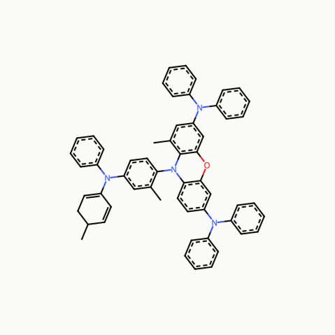 Cc1cc(N(C2=CCC(C)C=C2)c2ccccc2)ccc1N1c2ccc(N(c3ccccc3)c3ccccc3)cc2Oc2cc(N(c3ccccc3)c3ccccc3)cc(C)c21